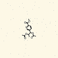 COC(=O)c1ccc(C(OC(C)=O)C(C)OC(C)=O)cn1